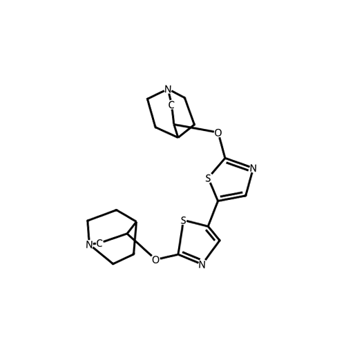 c1nc(OC2CN3CCC2CC3)sc1-c1cnc(OC2CN3CCC2CC3)s1